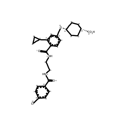 O=C(NCCNC(=O)c1ccc(O[C@H]2CC[C@@H](C(=O)O)CC2)cc1C1CC1)c1ccc(Cl)cc1